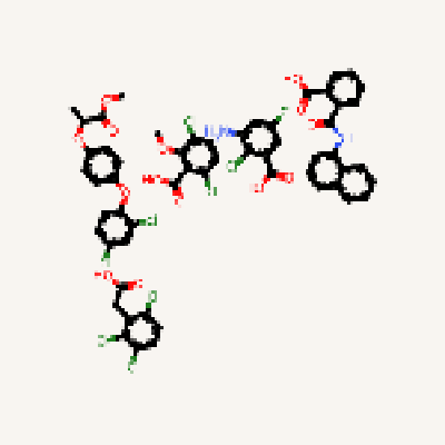 COC(=O)C(C)Oc1ccc(Oc2ccc(Cl)cc2Cl)cc1.COc1c(Cl)ccc(Cl)c1C(=O)O.Nc1cc(Cl)cc(C(=O)O)c1Cl.O=C(O)Cc1c(Cl)ccc(Cl)c1Cl.O=C(O)c1ccccc1C(=O)Nc1cccc2ccccc12